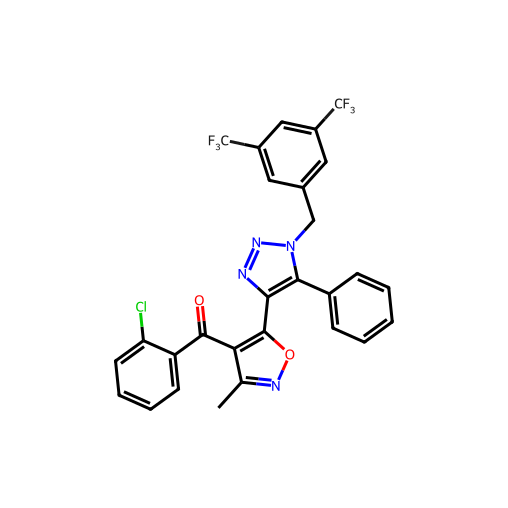 Cc1noc(-c2nnn(Cc3cc(C(F)(F)F)cc(C(F)(F)F)c3)c2-c2ccccc2)c1C(=O)c1ccccc1Cl